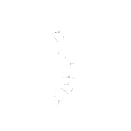 O=C1CCc2cc(S(=O)(=O)NCC(=O)N3CCC(Cc4ccc(F)cc4)CC3)ccc2N1